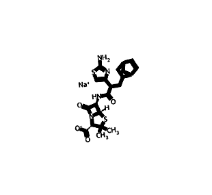 CC1(C)S[C@@H]2[C@H](NC(=O)C(CC3CC4C=CC3C4)c3csc(N)n3)C(=O)N2[C@H]1C(=O)[O-].[Na+]